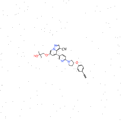 C#Cc1ccc(O[C@@H]2CCN(c3ccc(-c4cc(OCC(C)(C)O)cn5ncc(C#N)c45)cn3)C2)cc1